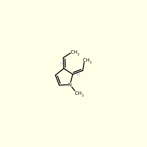 C/C=c1/ccn(C)/c1=C/C